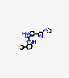 c1cc(-c2ccsc2)c2nc(-c3n[nH]c4ccc(-c5cncc(CN6CCCC6)c5)cc34)[nH]c2c1